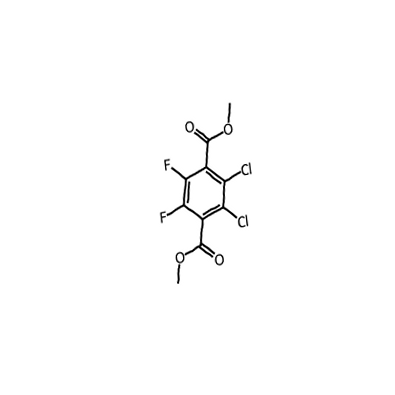 COC(=O)c1c(F)c(F)c(C(=O)OC)c(Cl)c1Cl